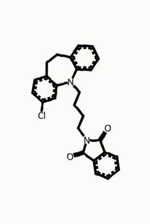 O=C1c2ccccc2C(=O)N1CCCCN1c2ccccc2CCc2ccc(Cl)cc21